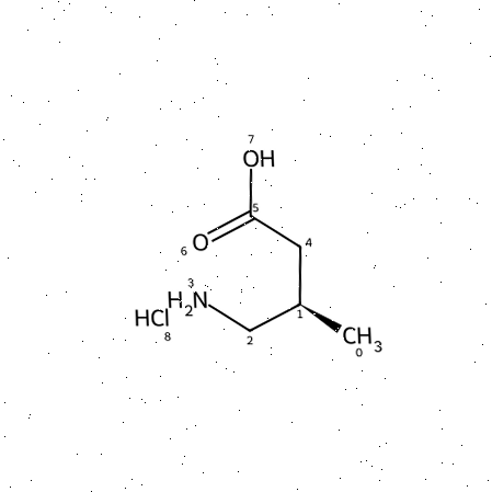 C[C@@H](CN)CC(=O)O.Cl